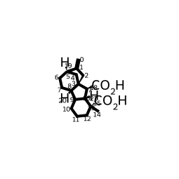 C=C1C[C@]23C[C@H]1CC[C@H]2C1CCC[C@@](C)(C(=O)O)[C@H]1[C@@H]3C(=O)O